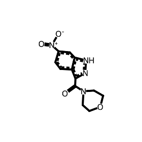 O=C(c1n[nH]c2cc([N+](=O)[O-])ccc12)N1CCOCC1